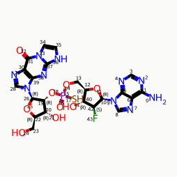 Nc1ncnc2c1ncn2[C@@H]1O[C@H](COP(=O)(S)O[C@@H]2[C@H](O)[C@@H](CO)O[C@H]2n2cnc3c(=O)n4cc[nH]c4nc32)[C@@H](O)[C@@H]1F